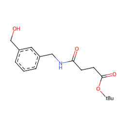 CC(C)(C)OC(=O)CCC(=O)NCc1cccc(CO)c1